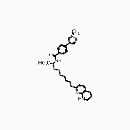 Cn1cc(-c2ccc(C(=O)N[C@@H](CCCCCCCc3ccc4c(n3)NCCC4)C(=O)O)cc2)cn1